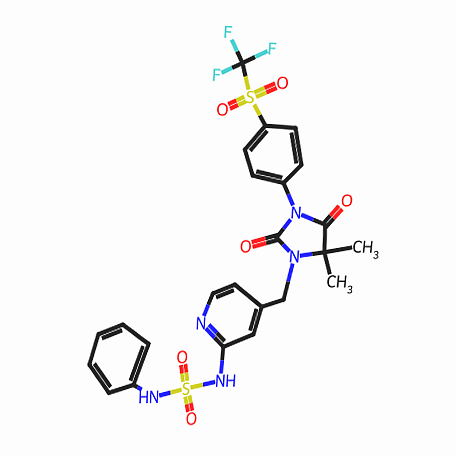 CC1(C)C(=O)N(c2ccc(S(=O)(=O)C(F)(F)F)cc2)C(=O)N1Cc1ccnc(NS(=O)(=O)Nc2ccccc2)c1